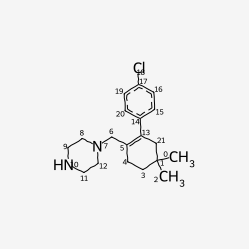 CC1(C)CCC(CN2CCNCC2)=C(c2ccc(Cl)cc2)C1